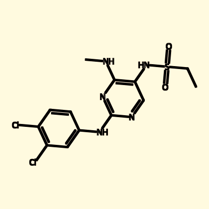 CCS(=O)(=O)Nc1cnc(Nc2ccc(Cl)c(Cl)c2)nc1NC